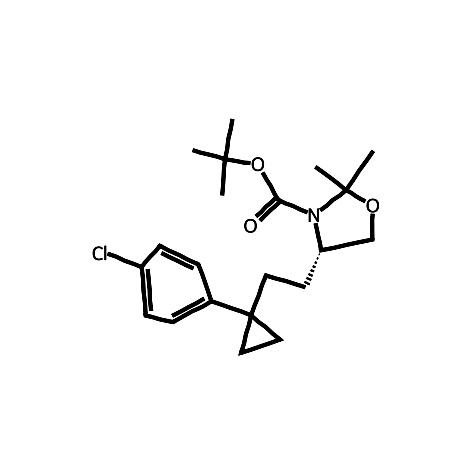 CC(C)(C)OC(=O)N1[C@@H](CCC2(c3ccc(Cl)cc3)CC2)COC1(C)C